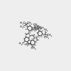 Cc1cc2c(cc1C)[CH]([Hf][CH]1C(c3cc(C(C)(C)C)cc(C(C)(C)C)c3)=Cc3cc(C)c(C)cc31)C(c1cc(C(C)(C)C)cc(C(C)(C)C)c1)=C2